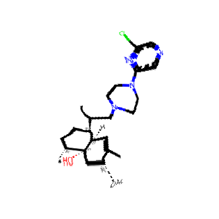 CC(=O)O[C@@H]1[CH][C@@]2(O)[C@H](C)CC[C@@H](C(C)CN3CCN(c4cncc(Cl)n4)CC3)[C@H]2C=C1C